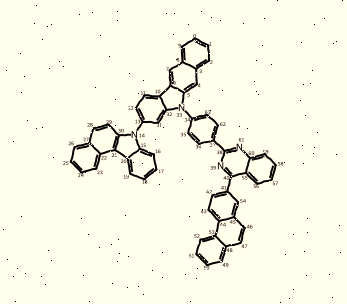 c1ccc2cc3c(cc2c1)c1ccc(-n2c4ccccc4c4c5ccccc5ccc42)cc1n3-c1ccc(-c2nc(-c3ccc4c(ccc5ccccc54)c3)c3ccccc3n2)cc1